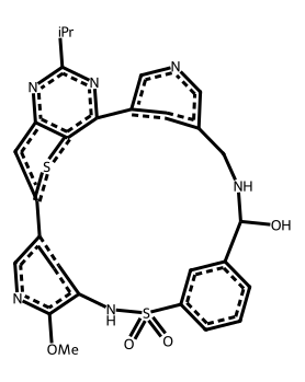 COc1ncc2cc1NS(=O)(=O)c1cccc(c1)C(O)NCc1cncc(c1)-c1nc(C(C)C)nc3cc-2sc13